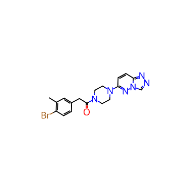 Cc1cc(CC(=O)N2CCN(c3ccc4nncn4n3)CC2)ccc1Br